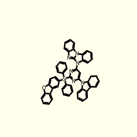 C1=Cc2c(n(-c3cc(-n4c5ccccc5n5c6ccccc6nc45)nc([Si](c4ccccc4)(c4ccccc4)c4ccc5oc6ccccc6c5c4)n3)c3ccccc23)CC1